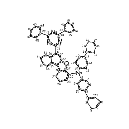 C1=CCCC(c2ccc(N(c3ccc(C4=CC=CCC4)cc3)c3cccc4c3oc3cc(-c5nc(-c6ccccc6)nc(-c6ccccc6)n5)c5ccccc5c34)cc2)=C1